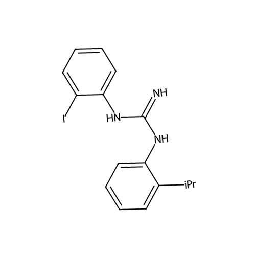 CC(C)c1ccccc1NC(=N)Nc1ccccc1I